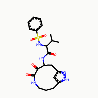 CC(C)C(NS(=O)(=O)c1ccccc1)C(=O)NC1Cc2cc([nH]n2)CCCNC(=O)C1=O